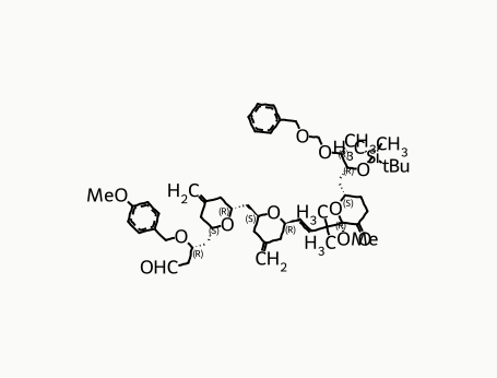 C=C1C[C@H](C[C@@H]2CC(=C)C[C@H](C=CC(C)(C)[C@@]3(OC)O[C@H](C[C@@H](O[Si](C)(C)C(C)(C)C)[C@@H](C)OCOCc4ccccc4)CCC3=O)O2)O[C@H](C[C@H](CC=O)OCc2ccc(OC)cc2)C1